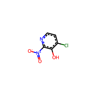 O=[N+]([O-])c1nccc(Cl)c1O